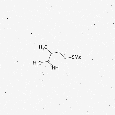 CSCCC(C)C(C)=N